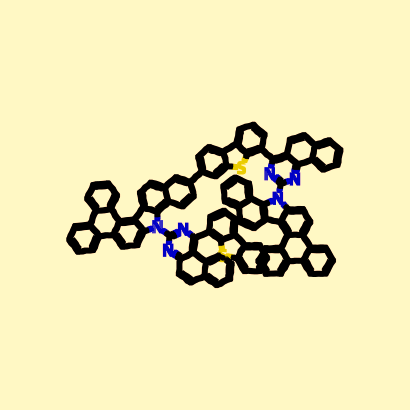 c1ccc2c(c1)ccc1c(-c3cccc4c3sc3cc(-c5ccc6c(ccc7c8c9c%10ccccc%10c%10ccccc%10c9ccc8n(-c8nc(-c9cccc%10c9sc9ccccc9%10)c9c(ccc%10ccccc%109)n8)c67)c5)ccc34)nc(-n3c4ccc5c6ccccc6c6ccccc6c5c4c4ccc5ccccc5c43)nc12